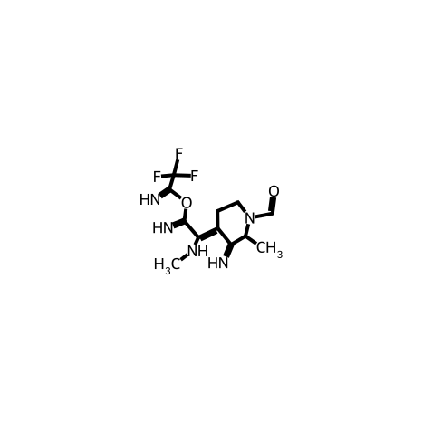 CN/C(C(=N)OC(=N)C(F)(F)F)=C1/CCN(C=O)C(C)C1=N